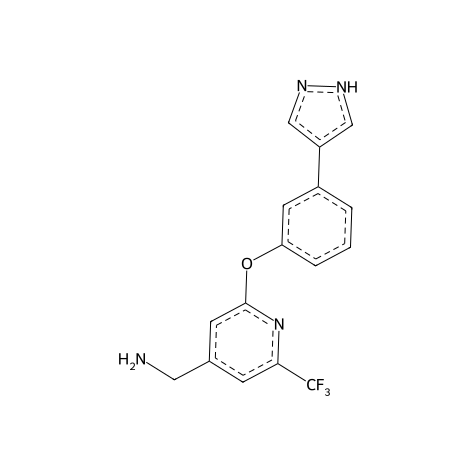 NCc1cc(Oc2cccc(-c3cn[nH]c3)c2)nc(C(F)(F)F)c1